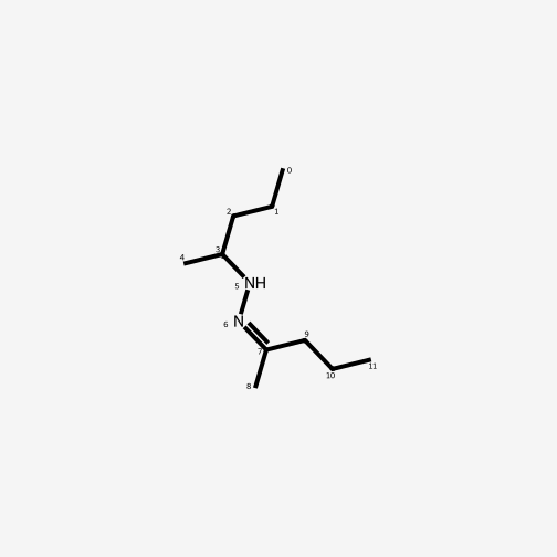 CCC[C](C)NN=C(C)CCC